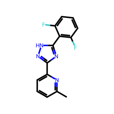 Cc1cccc(-c2n[nH]c(-c3c(F)cccc3F)n2)n1